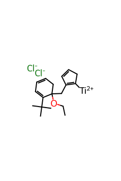 CCOC1(CC2=[C]([Ti+2])CC=C2)CC=CC=C1C(C)(C)C.[Cl-].[Cl-]